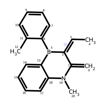 C=C1/C(=C\C)B(c2ccccc2C)c2ccccc2N1C